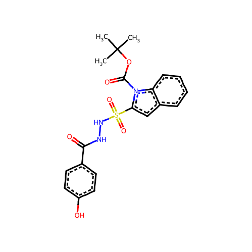 CC(C)(C)OC(=O)n1c(S(=O)(=O)NNC(=O)c2ccc(O)cc2)cc2ccccc21